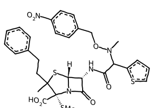 CS[C@@]1(C(=O)O)N2C(=O)[C@@H](NC(=O)C(c3cccs3)N(C)OCc3ccc([N+](=O)[O-])cc3)[C@H]2SC1(C)CCc1ccccc1